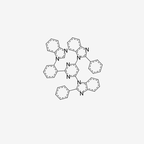 c1ccc(-c2nc3ccccc3n2-c2cc(-n3c(-c4ccccc4)nc4ccccc43)nc(-c3ccccc3-n3cnc4ccccc43)n2)cc1